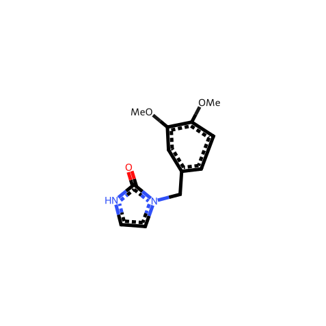 COc1ccc(Cn2cc[nH]c2=O)cc1OC